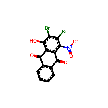 O=C1c2ccccc2C(=O)c2c1c(O)c(Br)c(Br)c2[N+](=O)[O-]